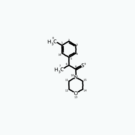 Cc1cccc(C(C)C(=S)N2CCOCC2)c1